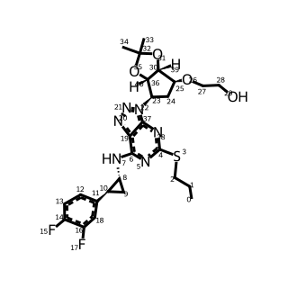 CCCSc1nc(N[C@@H]2C[C@H]2c2ccc(F)c(F)c2)c2nnn([C@@H]3C[C@H](OCCO)[C@H]4OC(C)(C)O[C@H]43)c2n1